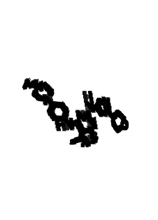 CC(=O)N1CCN(C2CCC(Nc3nc(Nc4cnn(C5CCOCC5)c4)nc4snc(C)c34)CC2)CC1